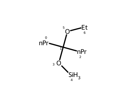 CCCC(CCC)(O[SiH3])OCC